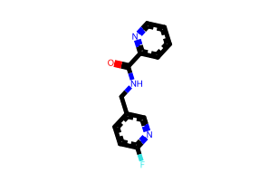 O=C(NCc1ccc(F)nc1)c1ccccn1